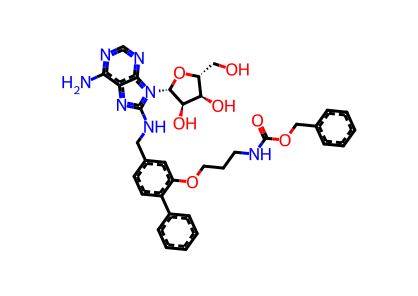 Nc1ncnc2c1nc(NCc1ccc(-c3ccccc3)c(OCCCNC(=O)OCc3ccccc3)c1)n2[C@@H]1O[C@H](CO)[C@@H](O)[C@H]1O